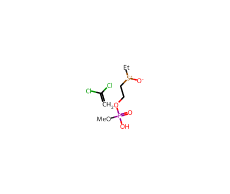 C=C(Cl)Cl.CC[S+]([O-])CCOP(=O)(O)OC